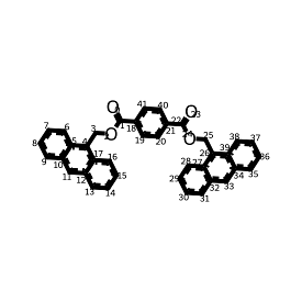 O=C(OCc1c2ccccc2cc2ccccc12)c1ccc(C(=O)OCc2c3ccccc3cc3ccccc23)cc1